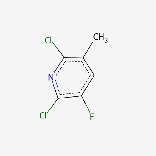 Cc1cc(F)c(Cl)nc1Cl